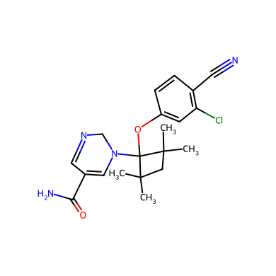 CC1(C)CC(C)(C)C1(Oc1ccc(C#N)c(Cl)c1)N1C=C(C(N)=O)C=NC1